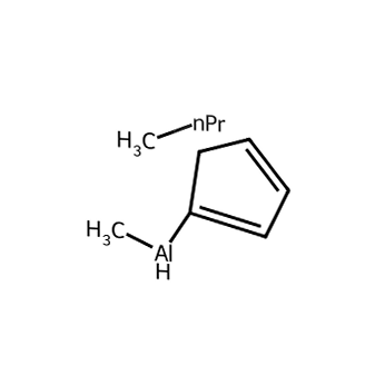 CCCC.[CH3][AlH][C]1=CC=CC1